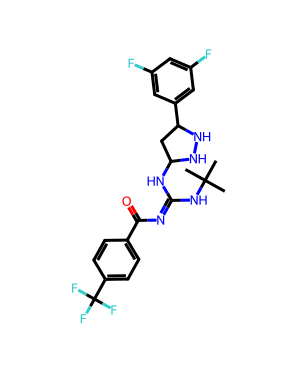 CC(C)(C)N/C(=N/C(=O)c1ccc(C(F)(F)F)cc1)NC1CC(c2cc(F)cc(F)c2)NN1